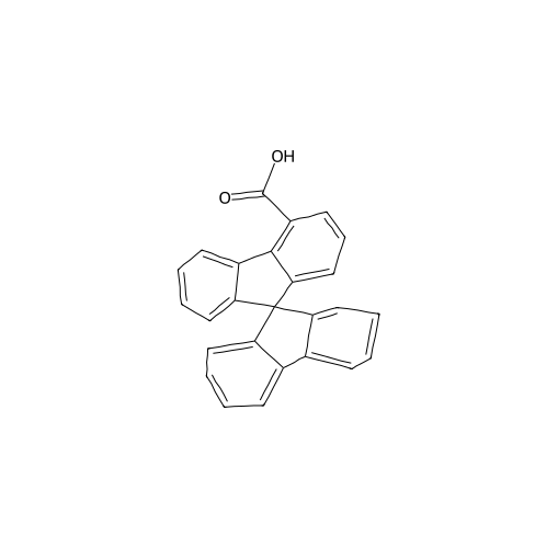 O=C(O)c1cccc2c1-c1ccccc1C21c2ccccc2-c2ccccc21